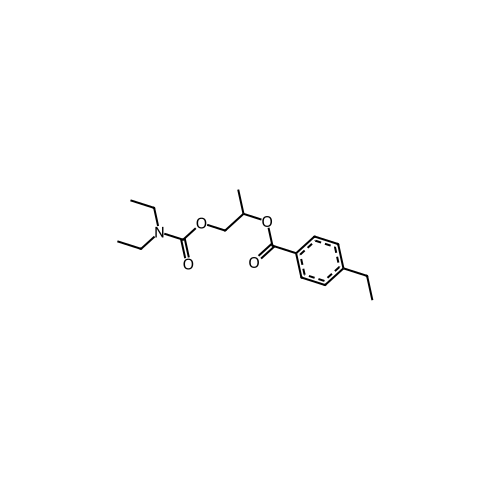 CCc1ccc(C(=O)OC(C)COC(=O)N(CC)CC)cc1